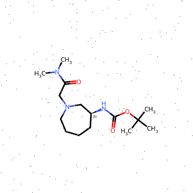 CN(C)C(=O)CN1CCCC[C@H](NC(=O)OC(C)(C)C)C1